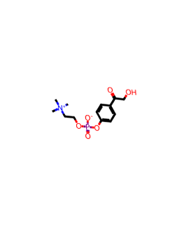 C[N+](C)(C)CCOP(=O)([O-])Oc1ccc(C(=O)CO)cc1